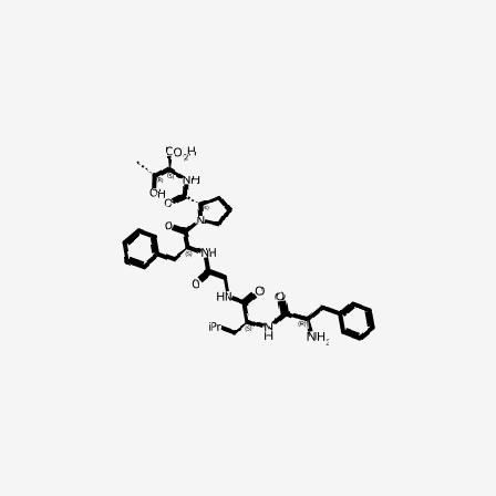 CC(C)C[C@H](NC(=O)[C@H](N)Cc1ccccc1)C(=O)NCC(=O)N[C@@H](Cc1ccccc1)C(=O)N1CCC[C@H]1C(=O)N[C@H](C(=O)O)[C@@H](C)O